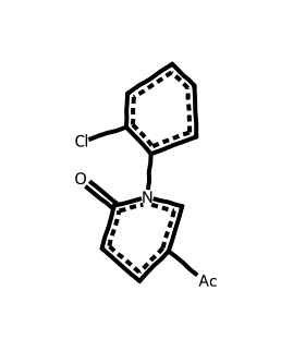 CC(=O)c1ccc(=O)n(-c2ccccc2Cl)c1